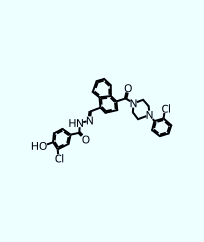 O=C(N/N=C/c1ccc(C(=O)N2CCN(c3ccccc3Cl)CC2)c2ccccc12)c1ccc(O)c(Cl)c1